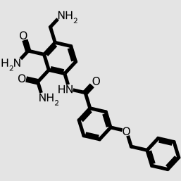 NCc1ccc(NC(=O)c2cccc(OCc3ccccc3)c2)c(C(N)=O)c1C(N)=O